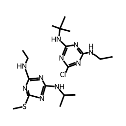 CCNc1nc(Cl)nc(NC(C)(C)C)n1.CCNc1nc(NC(C)C)nc(SC)n1